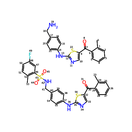 Cc1ccccc1C(=O)c1cnc(Nc2ccc(CN)cc2)s1.Cc1ccccc1C(=O)c1cnc(Nc2ccc(CNS(=O)(=O)c3cc(F)ccc3C)cc2)s1